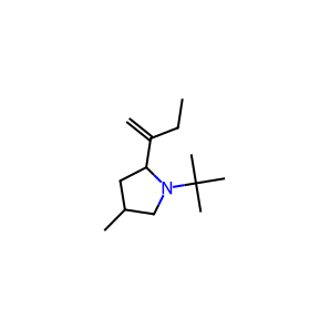 C=C(CC)C1CC(C)CN1C(C)(C)C